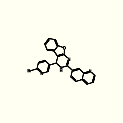 Brc1ccc(C2NC(c3ccc4cccnc4c3)=Nc3oc4ccccc4c32)cn1